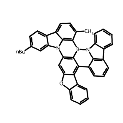 CCCCc1ccc2c3ccc(C)c4c3n(c2c1)-c1cc2oc3ccccc3c2c2c1B4n1c3ccccc3c3cccc-2c31